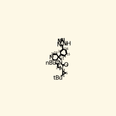 CCCCc1cn(C2CC2C(C)(C)C)c(=O)n1CC1(c2cccc(-c3nnn[nH]3)c2)C=CN=CC1